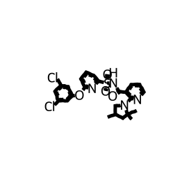 CC1CN(c2ncccc2C(=O)NS(=O)(=O)c2cccc(Oc3cc(Cl)cc(Cl)c3)n2)C(C)(C)C1